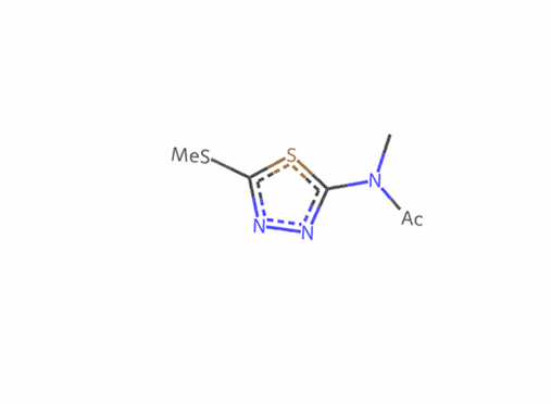 CSc1nnc(N(C)C(C)=O)s1